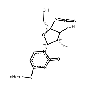 CCCCCCCNc1ccn([C@@H]2O[C@@](CO)(N=[N+]=[N-])C(O)[C@@H]2F)c(=O)n1